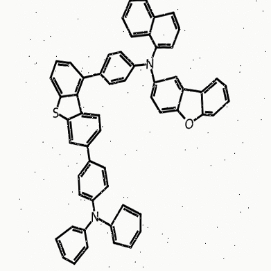 c1ccc(N(c2ccccc2)c2ccc(-c3ccc4c(c3)sc3cccc(-c5ccc(N(c6ccc7oc8ccccc8c7c6)c6cccc7ccccc67)cc5)c34)cc2)cc1